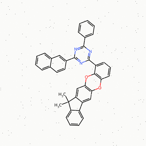 CC1(C)c2ccccc2-c2cc3c(cc21)Oc1c(cccc1-c1nc(-c2ccccc2)nc(-c2ccc4ccccc4c2)n1)O3